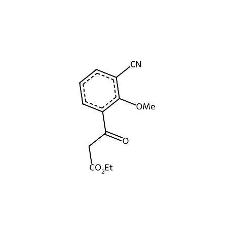 CCOC(=O)CC(=O)c1cccc(C#N)c1OC